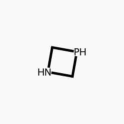 C1NCP1